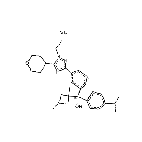 CC(C)c1ccc([C@](O)(c2cncc(-c3nc(C4CCOCC4)n(CCN)n3)c2)C2(C)CN(C)C2)cc1